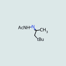 CC(=O)NN=C(C)CC(C)(C)C